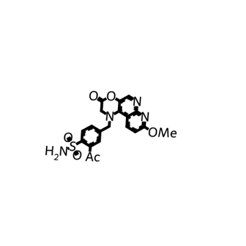 COc1ccc2c3c(cnc2n1)OC(=O)CN3Cc1ccc(S(N)(=O)=O)c(C(C)=O)c1